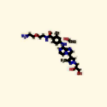 CCc1cc(Nc2nccn3c(-c4cn(CC(O)CO)nc4C(F)(F)F)cnc23)ccc1C(=O)NCCOCCN.O=CO